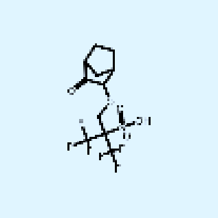 O=C1C2CCC(C2)C1OCC(C(F)(F)F)(C(F)(F)F)S(=O)(=O)O